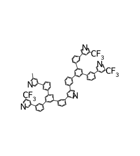 Cc1cncc(-c2cccc(-c3cc(-c4cccc(-c5cncc(-c6cccc(-c7cc(-c8cccc(-c9cncc(C(F)(F)F)c9)c8)cc(-c8cccc(-c9cncc(C(F)(F)F)c9)c8)c7)c6)c5)c4)cc(-c4cccc(-c5cncc(C(F)(F)F)c5)c4)c3)c2)c1